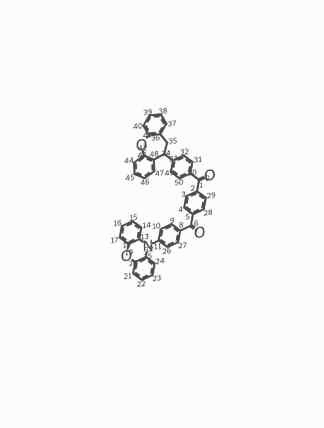 O=C(c1ccc(C(=O)c2ccc(N3c4ccccc4Oc4ccccc43)cc2)cc1)c1ccc(C2Cc3ccccc3Oc3ccccc32)cc1